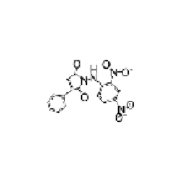 O=C1C=C(c2ccccc2)C(=O)N1Nc1ccc([N+](=O)[O-])cc1[N+](=O)[O-]